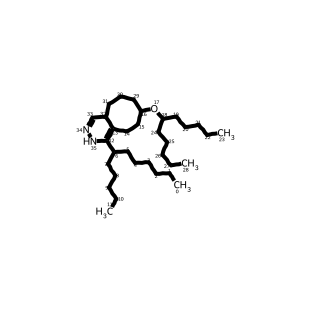 CCCCCCC(CCCCC)C1=C2CCC(OC(CCCCC)CCCCC)CCCC2C=NN1